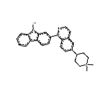 CC(C)n1c2ccccc2c2ccc(-c3nccc4cc(C5CCS(C)(C)CC5)ccc34)cc21